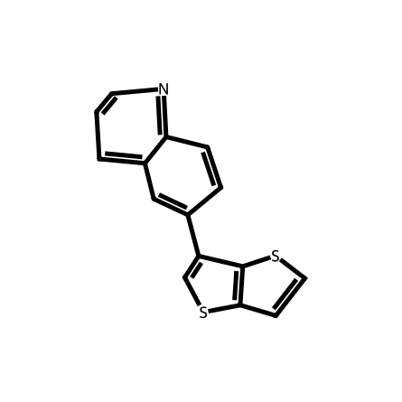 c1cnc2ccc(-c3csc4ccsc34)cc2c1